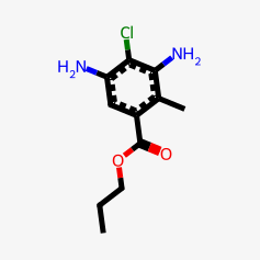 CCCOC(=O)c1cc(N)c(Cl)c(N)c1C